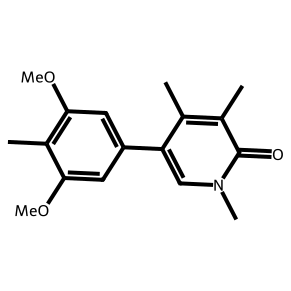 COc1cc(-c2cn(C)c(=O)c(C)c2C)cc(OC)c1C